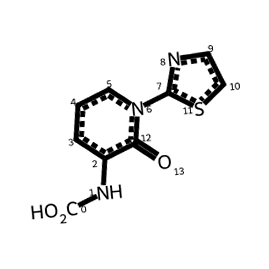 O=C(O)Nc1cccn(-c2nccs2)c1=O